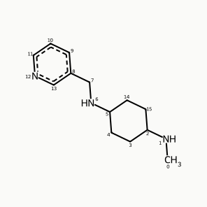 CNC1CCC(NCc2cccnc2)CC1